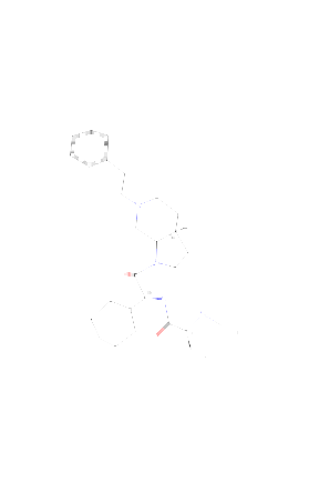 CN[C@@H](C)C(=O)N[C@H](C(=O)N1CC[C@H]2CCN(CCc3ccccc3)CC21)C1CCCCC1